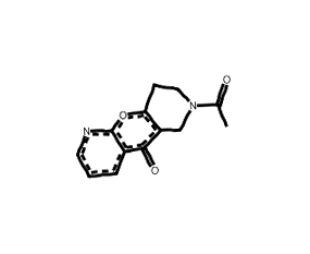 CC(=O)N1CCc2oc3ncccc3c(=O)c2C1